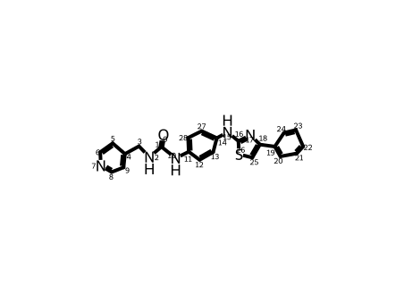 O=C(NCc1ccncc1)Nc1ccc(Nc2nc(-c3ccccc3)cs2)cc1